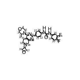 CC1COCCN1c1nc(-c2ccc(NC(=O)Nc3ccc(F)c(F)c3)cc2)nc2c1CCN(C1COC1)C2